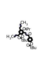 C/C=C/Cc1cc(C/C=C/C)c(OC(C)C)c(/C=C/C(=O)c2ccc(OC(=O)C(C)(C)C)cc2)c1OC(=O)C(C)(C)C